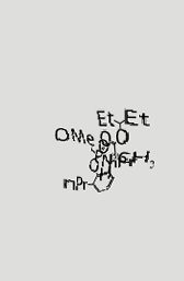 CCCc1cccc(CCC)c1OP(=O)(COC)N[C@@H](C)C(=O)OC(CC)CC